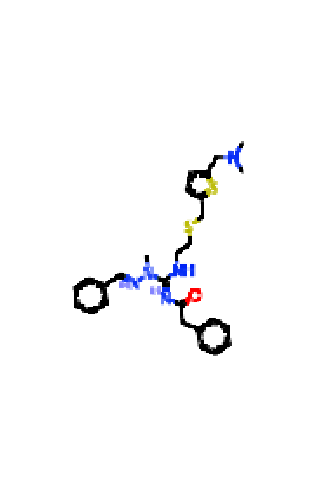 CN(C)Cc1ccc(CSCCN/C(=N\C(=O)Cc2ccccc2)N(C)/N=C/c2ccccc2)s1